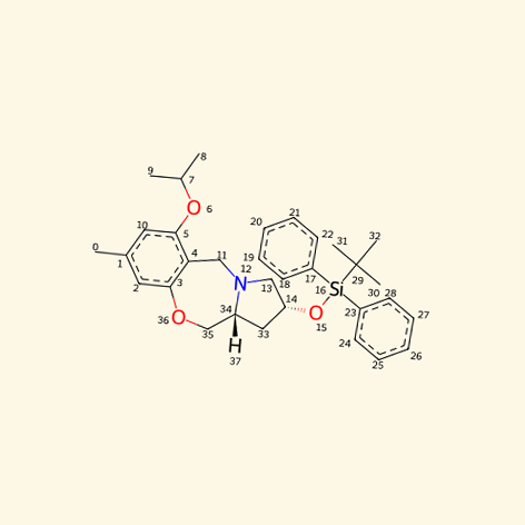 Cc1cc2c(c(OC(C)C)c1)CN1C[C@H](O[Si](c3ccccc3)(c3ccccc3)C(C)(C)C)C[C@@H]1CO2